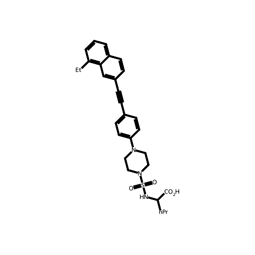 CCCC(NS(=O)(=O)N1CCN(c2ccc(C#Cc3ccc4cccc(CC)c4c3)cc2)CC1)C(=O)O